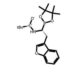 CC(C)(C)[S@@+]([O-])N[C@@H](Cc1coc2ccccc12)B1OC(C)(C)C(C)(C)O1